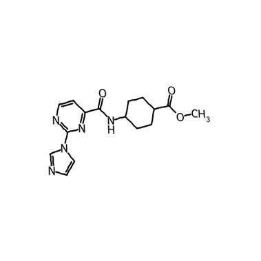 COC(=O)C1CCC(NC(=O)c2ccnc(-n3ccnc3)n2)CC1